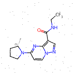 C[C@H]1CCCN1c1ccn2ncc(C(=O)NCC(F)(F)F)c2n1